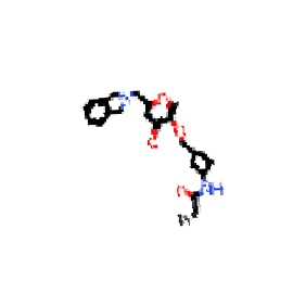 CC(C)CC(=O)NC1C=CC(COc2coc(CN3Cc4ccccc4C3)cc2=O)C1